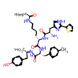 CCCCCCCC(=O)NCCCC[C@H](NC(=O)[C@@H](N)Cc1c[nH]c(-c2cccs2)n1)C(=O)N[C@H](Cc1ccc(C)cc1)C(=O)N[C@@H](Cc1ccc(O)cc1)C(=O)O